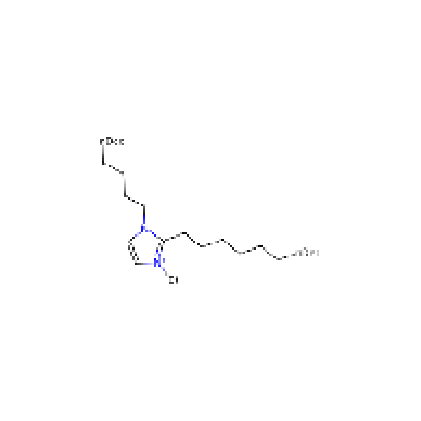 CCCCCCCCCCCCCCCCc1n(CCCCCCCCCCCCCC)cc[n+]1CC